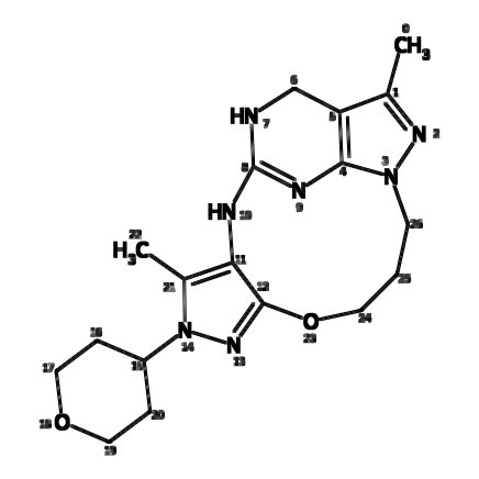 Cc1nn2c3c1CNC(=N3)Nc1c(nn(C3CCOCC3)c1C)OCCC2